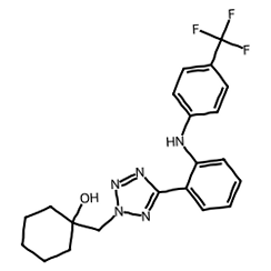 OC1(Cn2nnc(-c3ccccc3Nc3ccc(C(F)(F)F)cc3)n2)CCCCC1